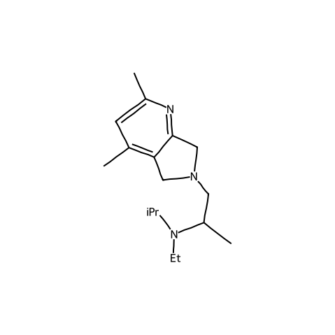 CCN(C(C)C)C(C)CN1Cc2nc(C)cc(C)c2C1